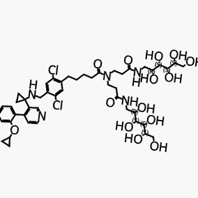 O=C(CCN(CCC(=O)NC[C@@H](O)[C@H](O)[C@@H](O)[C@@H](O)CO)C(=O)CCCCc1cc(Cl)c(CNC2(c3cnccc3-c3ccccc3OC3CC3)CC2)cc1Cl)NC[C@@H](O)[C@H](O)[C@@H](O)[C@@H](O)CO